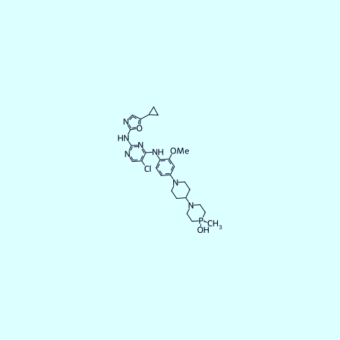 COc1cc(N2CCC(N3CC[P](C)(O)CC3)CC2)ccc1Nc1nc(Nc2ncc(C3CC3)o2)ncc1Cl